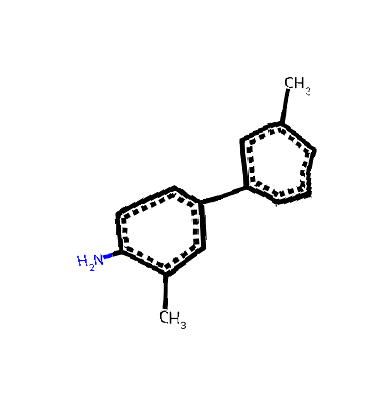 Cc1cc[c]c(-c2ccc(N)c(C)c2)c1